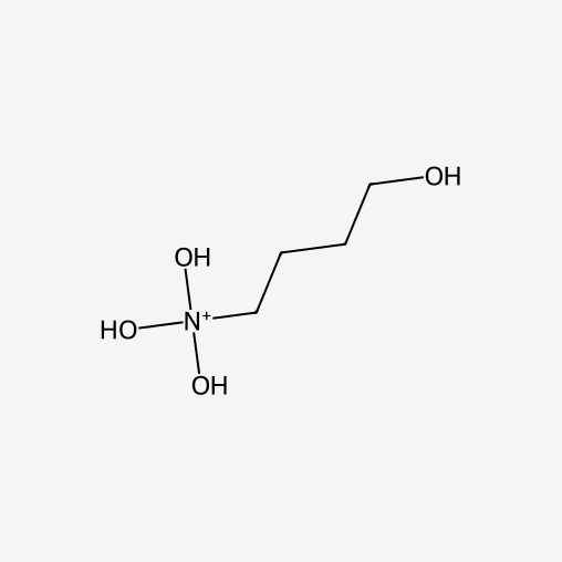 OCCCC[N+](O)(O)O